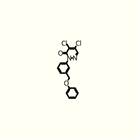 O=c1c(Cl)c(Cl)cnn1-c1cccc(COc2ccccc2)c1